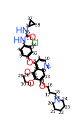 O=C(Nc1ccc(Oc2ccnc3cc(OCCCN4CCCCC4)c4c(c23)OCCO4)cc1Cl)NC1CC1